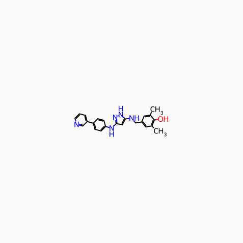 Cc1cc(CNc2cc(Nc3ccc(-c4cccnc4)cc3)n[nH]2)cc(C)c1O